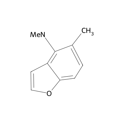 CNc1c(C)ccc2occc12